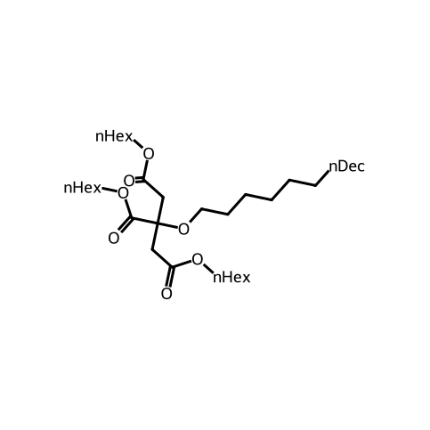 CCCCCCCCCCCCCCCCOC(CC(=O)OCCCCCC)(CC(=O)OCCCCCC)C(=O)OCCCCCC